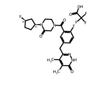 Cc1c(Cc2ccc(F)c(C(=O)N3CCN([C@H]4CC[C@@H](F)C4)C(=O)C3)c2)n[nH]c(=O)c1C.O=C(O)C(F)(F)F